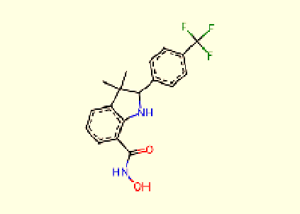 CC1(C)c2cccc(C(=O)NO)c2NC1c1ccc(C(F)(F)F)cc1